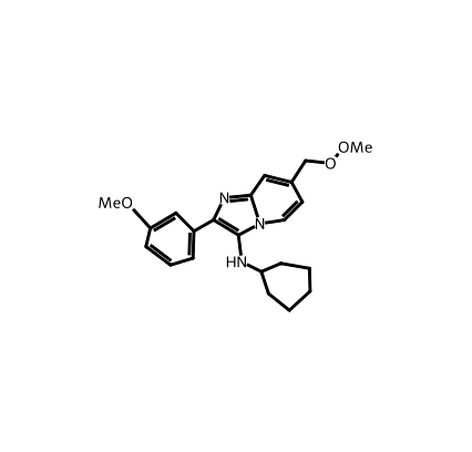 COOCc1ccn2c(NC3CCCCC3)c(-c3cccc(OC)c3)nc2c1